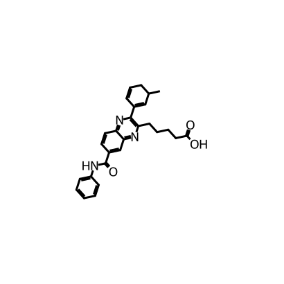 CC1C=C(c2nc3ccc(C(=O)Nc4ccccc4)cc3nc2CCCCC(=O)O)C=CC1